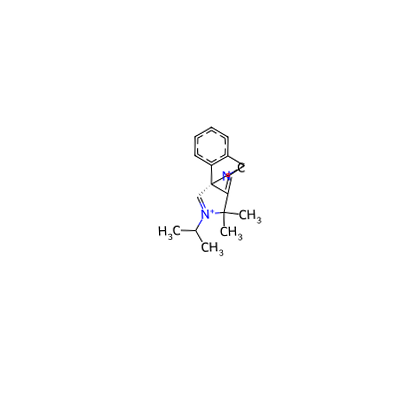 CC(C)[N+]1=C[C@]23C=NCC(C=C2C1(C)C)c1ccccc13